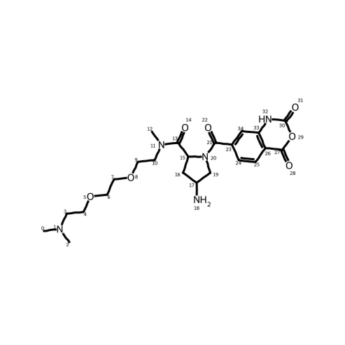 CN(C)CCOCCOCCN(C)C(=O)C1CC(N)CN1C(=O)c1ccc2c(=O)oc(=O)[nH]c2c1